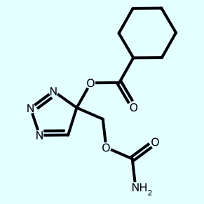 NC(=O)OCC1(OC(=O)C2CCCCC2)C=NN=N1